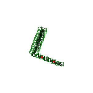 C.ClCCl.ClCCl.ClCCl.ClCCl.ClCCl.ClCCl.ClCCl.ClCCl.ClCCl.ClCCl.ClCCl.ClCCl.ClCCl.ClCCl.ClCCl.ClCCl.ClCCl.ClCCl.ClCCl.ClCCl